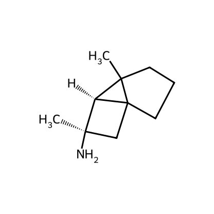 CC12CCCC13C[C@@](C)(N)[C@@H]23